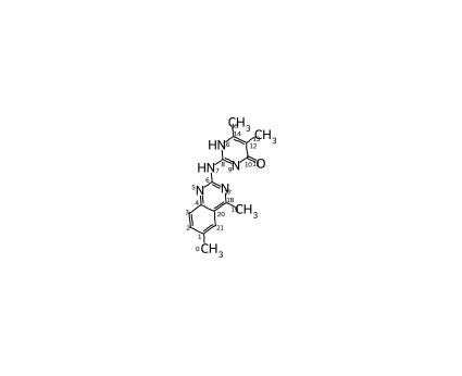 Cc1ccc2nc(Nc3nc(=O)c(C)c(C)[nH]3)nc(C)c2c1